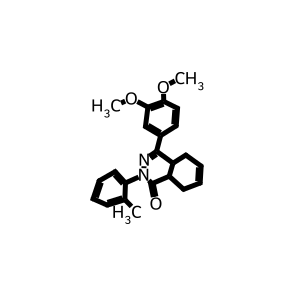 COc1ccc(C2=NN(c3ccccc3C)C(=O)C3CC=CCC23)cc1OC